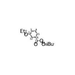 CCOc1cccc(C(=O)OO[C](C)CC)c1